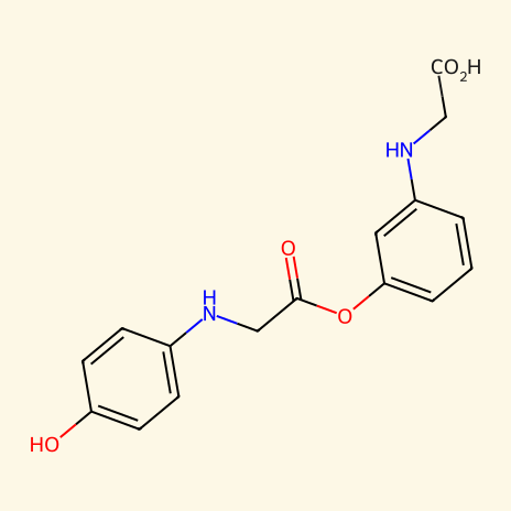 O=C(O)CNc1cccc(OC(=O)CNc2ccc(O)cc2)c1